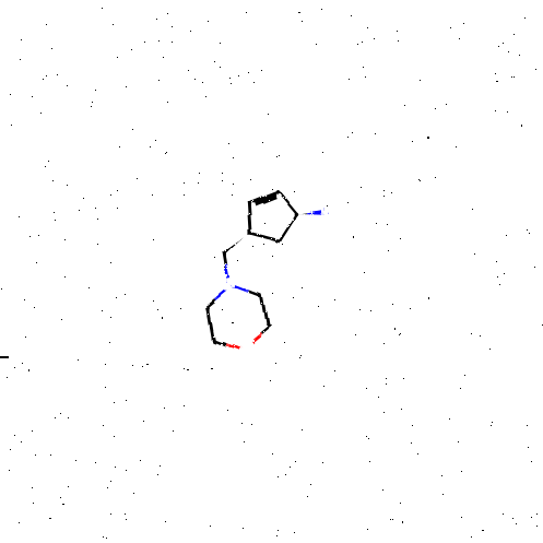 N[C@@H]1C=C[C@H](CN2CCOCC2)C1